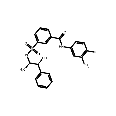 Cc1cc(NC(=O)c2cccc(S(=O)(=O)N[C@H](C)[C@@H](O)c3ccccc3)c2)ccc1F